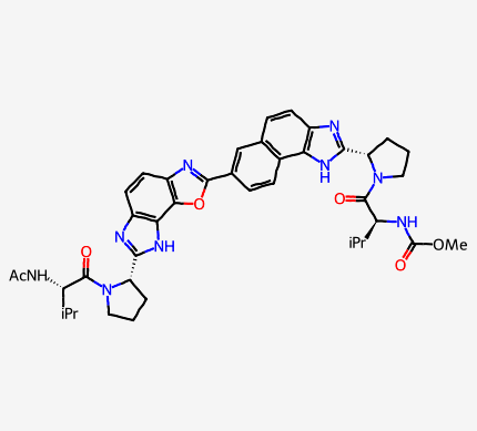 COC(=O)N[C@H](C(=O)N1CCC[C@H]1c1nc2ccc3cc(-c4nc5ccc6nc([C@@H]7CCCN7C(=O)[C@@H](NC(C)=O)C(C)C)[nH]c6c5o4)ccc3c2[nH]1)C(C)C